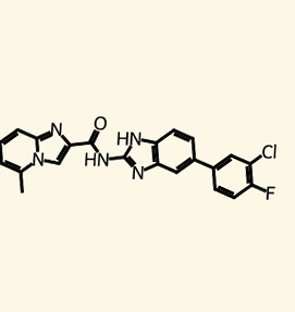 Cc1cccc2nc(C(=O)Nc3nc4cc(-c5ccc(F)c(Cl)c5)ccc4[nH]3)cn12